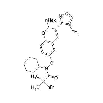 CCCCCCC1Oc2ccc(ON(C(=O)C(C)(C)CCC)C3CCCCC3)cc2C=C1c1nccn1C